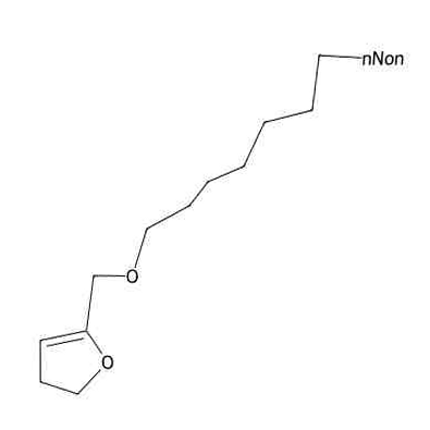 CCCCCCCCCCCCCCCCOCC1=CCCO1